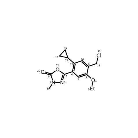 CCOc1cc(-c2nn(C)c(=O)o2)c(C2CC2)cc1CCl